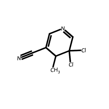 CC1C(C#N)=CN=CC1(Cl)Cl